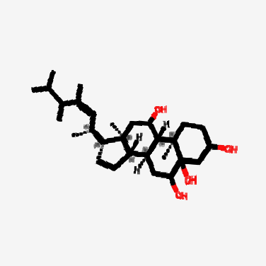 CC(=C[C@@H](C)[C@H]1CC[C@H]2[C@@H]3CC(O)C4(O)CC(O)CC[C@]4(C)[C@H]3C(O)C[C@]12C)C(C)C(C)C